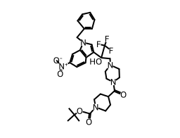 CC(C)(C)OC(=O)N1CCC(C(=O)N2CCN(CC(O)(c3cn(Cc4ccccc4)c4cc([N+](=O)[O-])ccc34)C(F)(F)F)CC2)CC1